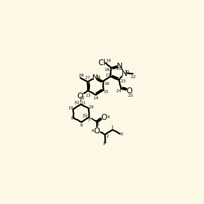 CCC(C)OC(=O)[C@H]1CCC[C@H](Oc2ccc(-c3c(Cl)nn(C)c3C=O)nc2C)C1